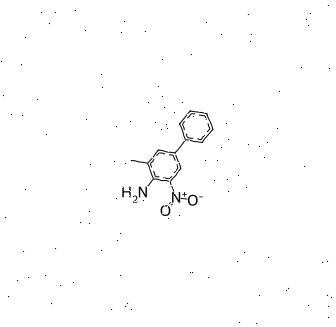 Cc1cc(-c2ccccc2)cc([N+](=O)[O-])c1N